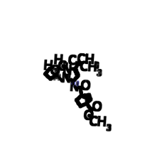 COC(=O)C12CCC(C(=O)/N=c3\cc(C(C)(C)C)n(C)n3C[C@H]3CCCO3)(CC1)C2